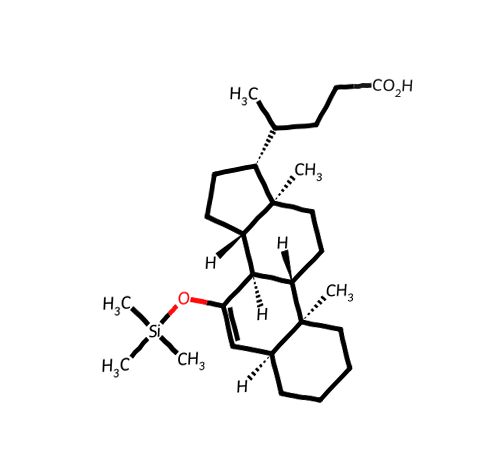 CC(CCC(=O)O)[C@H]1CC[C@H]2[C@@H]3C(O[Si](C)(C)C)=C[C@@H]4CCCC[C@]4(C)[C@H]3CC[C@]12C